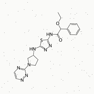 CCOC(C(=O)Nc1nnc(NC2CCN(c3nccnn3)C2)s1)c1ccccc1